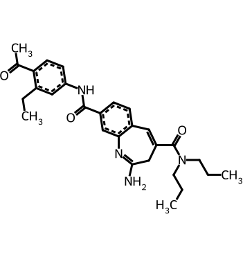 CCCN(CCC)C(=O)C1=Cc2ccc(C(=O)Nc3ccc(C(C)=O)c(CC)c3)cc2N=C(N)C1